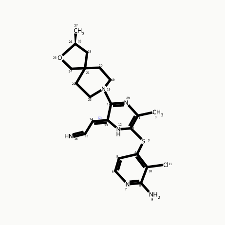 CC1=C(Sc2ccnc(N)c2Cl)N/C(=C\C=N)C(N2CCC3(CC2)CO[C@@H](C)C3)=N1